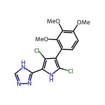 COc1ccc(-c2c(Cl)[nH]c(-c3nnc[nH]3)c2Cl)c(OC)c1OC